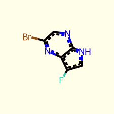 Fc1c[nH]c2ncc(Br)nc12